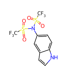 O=S(=O)(N(c1ccc2[nH]ccc2c1)S(=O)(=O)C(F)(F)F)C(F)(F)F